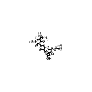 CCCCN1C(=O)C(=C(N)N)C(=O)N(C2CCC(CN3C(=O)N(COCC[Si](C)(C)C)C(=O)C34CC(O)C4)CC2)C1=O